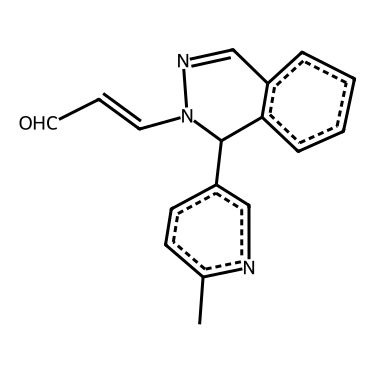 Cc1ccc(C2c3ccccc3C=NN2C=CC=O)cn1